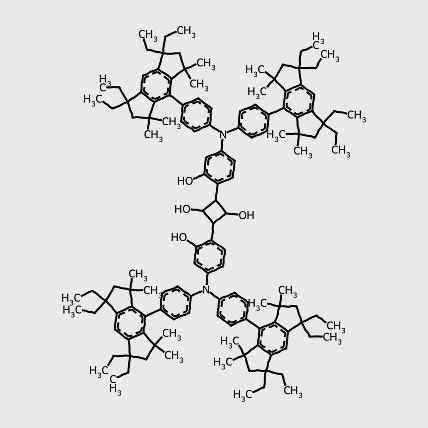 CCC1(CC)CC(C)(C)c2c1cc1c(c2-c2ccc(N(c3ccc(-c4c5c(cc6c4C(C)(C)CC6(CC)CC)C(CC)(CC)CC5(C)C)cc3)c3ccc(C4C(O)C(c5ccc(N(c6ccc(-c7c8c(cc9c7C(C)(C)CC9(CC)CC)C(CC)(CC)CC8(C)C)cc6)c6ccc(-c7c8c(cc9c7C(C)(C)CC9(CC)CC)C(CC)(CC)CC8(C)C)cc6)cc5O)C4O)c(O)c3)cc2)C(C)(C)CC1(CC)CC